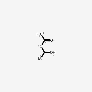 CCC(O)OC(=O)C(F)(F)F